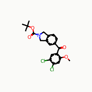 COc1cc(Cl)c(Cl)cc1C(=O)c1ccc2c(c1)CN(C(=O)OC(C)(C)C)C2